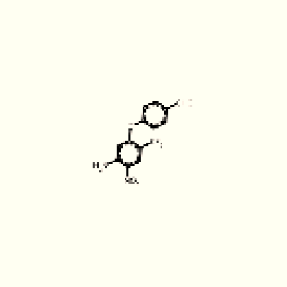 Nc1cc(Oc2ccc(C=O)cc2)c(C(F)(F)F)cc1[N+](=O)[O-]